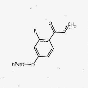 C=CC(=O)c1ccc(OCCCCC)cc1F